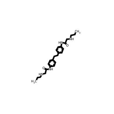 CCCNCC(=O)Nc1ccc(CCc2ccc(NC(=O)CNCCC)cc2)cc1